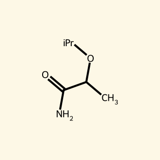 CC(C)OC(C)C(N)=O